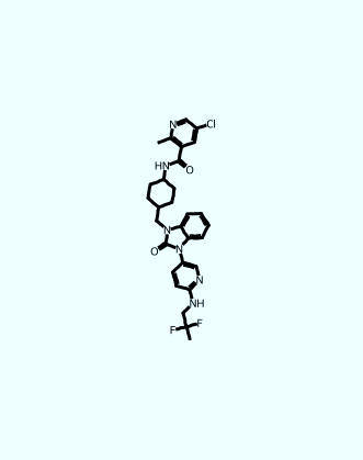 Cc1ncc(Cl)cc1C(=O)NC1CCC(Cn2c(=O)n(-c3ccc(NCC(C)(F)F)nc3)c3ccccc32)CC1